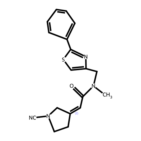 CN(Cc1csc(-c2ccccc2)n1)C(=O)/C=C1/CCN(C#N)C1